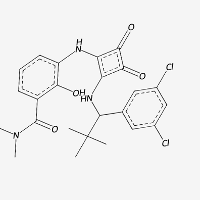 CN(C)C(=O)c1cccc(Nc2c(NC(c3cc(Cl)cc(Cl)c3)C(C)(C)C)c(=O)c2=O)c1O